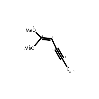 CC#CC=C(OC)OC